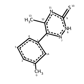 Cc1cccc(-c2n[nH]c(=S)nc2C)c1